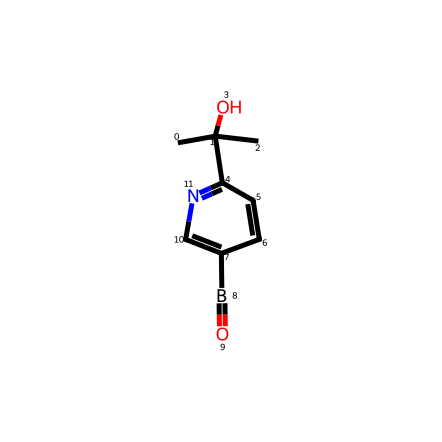 CC(C)(O)c1ccc(B=O)cn1